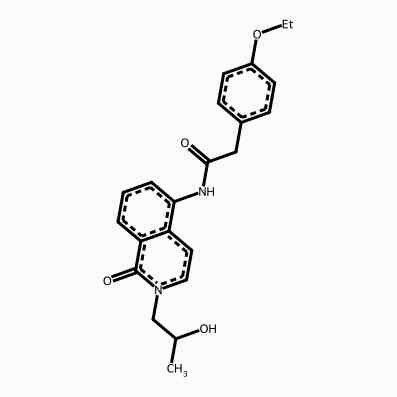 CCOc1ccc(CC(=O)Nc2cccc3c(=O)n(CC(C)O)ccc23)cc1